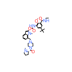 CCNC(=O)c1cc(C(C)(C)C)cc(NC(=O)Oc2cc3cccc(CN4CCN(C(=O)[C@@H]5CCCN5C)CC4)c3n2C)c1OC